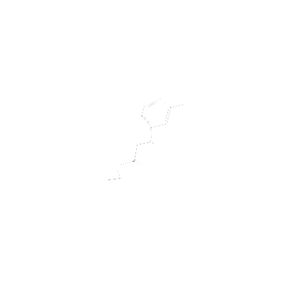 CCOC(=O)CNc1cccc(O)c1